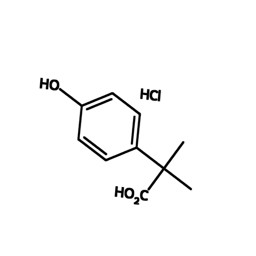 CC(C)(C(=O)O)c1ccc(O)cc1.Cl